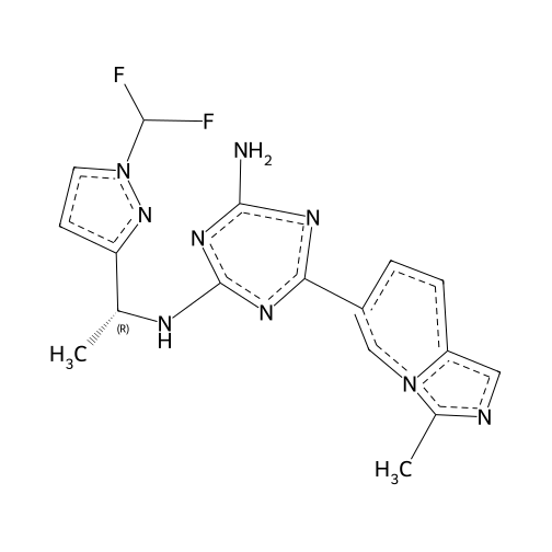 Cc1ncc2ccc(-c3nc(N)nc(N[C@H](C)c4ccn(C(F)F)n4)n3)cn12